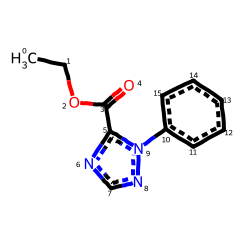 CCOC(=O)c1ncnn1-c1ccccc1